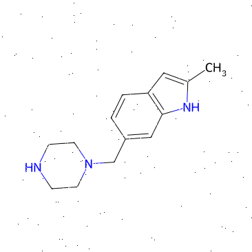 Cc1cc2ccc(CN3CCNCC3)cc2[nH]1